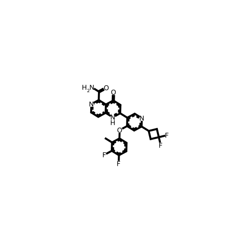 Cc1c(Oc2cc(C3CC(F)(F)C3)ncc2-c2cc(=O)c3c(C(N)=O)nccc3[nH]2)ccc(F)c1F